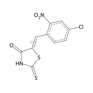 O=C1NC(=S)S/C1=C\c1ccc(Cl)cc1[N+](=O)[O-]